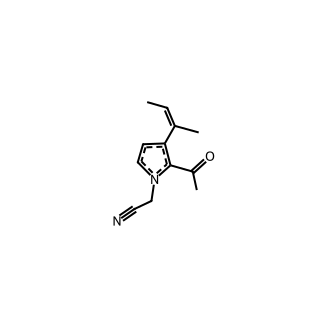 C/C=C(/C)c1ccn(CC#N)c1C(C)=O